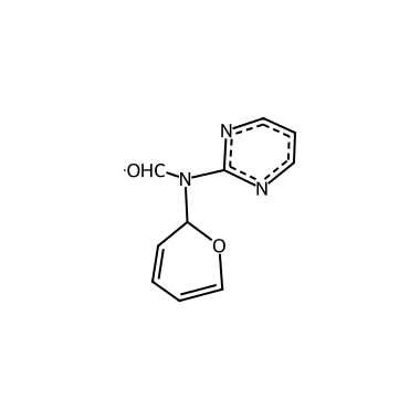 O=[C]N(c1ncccn1)C1C=CC=CO1